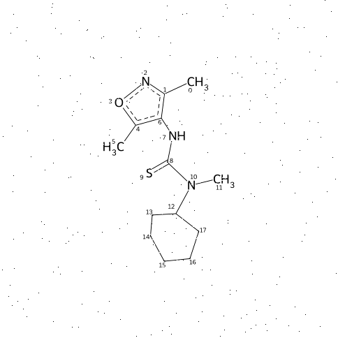 Cc1noc(C)c1NC(=S)N(C)C1CCCCC1